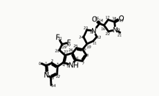 Cc1cc(-c2[nH]c3ccc(C4CCN(C(=O)C5CC(=O)N(C)C5)CC4)cc3c2CC(F)F)cc(C)n1